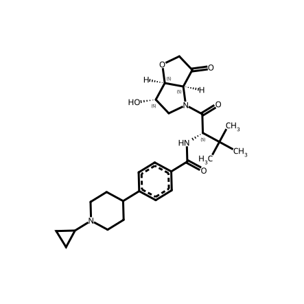 CC(C)(C)[C@H](NC(=O)c1ccc(C2CCN(C3CC3)CC2)cc1)C(=O)N1C[C@H](O)[C@H]2OCC(=O)[C@H]21